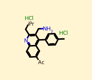 CC(=O)c1ccc2nc(CC(C)C)c(CN)c(-c3ccc(C)cc3)c2c1.Cl.Cl